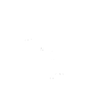 CC(C)OC(=O)C1C=C2C=CC(C(=O)c3ccc(S(C)(=O)=O)cc3)N2CCC1